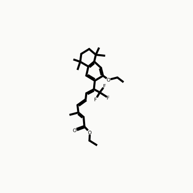 CCOC(=O)C=C(C)C=CC=C(c1cc2c(cc1OCC)C(C)(C)CCC2(C)C)C(F)(F)F